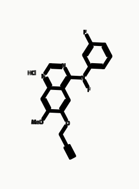 C#CCOc1cc2c(N(F)c3cccc(F)c3)ncnc2cc1OC.Cl